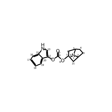 CN1C2CCC1CC(OC(=O)Oc1c[nH]c3ccccc13)C2